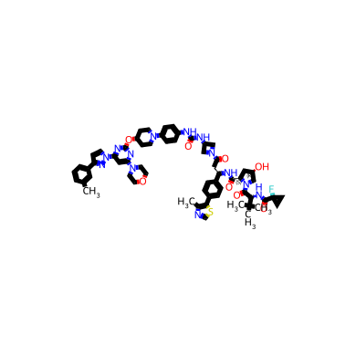 Cc1cccc(-c2ccn(-c3cc(N4CCOCC4)nc(OC4CCN(c5ccc(NC(=O)NC6CN(C(=O)C[C@H](NC(=O)[C@@H]7C[C@@H](O)CN7C(=O)[C@@H](NC(=O)C7(F)CC7)C(C)(C)C)c7ccc(-c8scnc8C)cc7)C6)cc5)CC4)n3)n2)c1